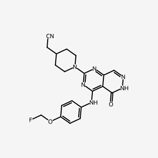 N#CCC1CCN(c2nc(Nc3ccc(OCF)cc3)c3c(=O)[nH]ncc3n2)CC1